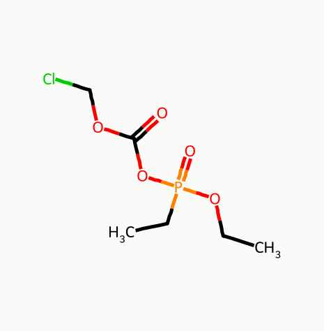 CCOP(=O)(CC)OC(=O)OCCl